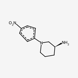 N[C@H]1CCCN(c2ccc([N+](=O)[O-])cc2)C1